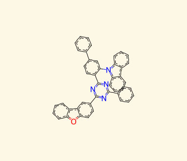 c1ccc(-c2ccc(-c3nc(-c4ccccc4)nc(-c4ccc5oc6ccccc6c5c4)n3)c(-n3c4ccccc4c4ccccc43)c2)cc1